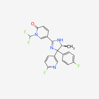 C[C@@H]1NC(c2ccc(=O)n(C(F)F)c2)=NC1(c1ccc(F)cc1)c1ccc(F)nc1